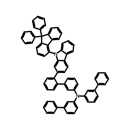 c1ccc(-c2cccc(N(c3cccc(-c4ccccc4)c3)c3cccc(-c4ccccc4-c4ccc5c6ccccc6n(-c6cccc7c6-c6ccccc6C7(c6ccccc6)c6ccccc6)c5c4)c3)c2)cc1